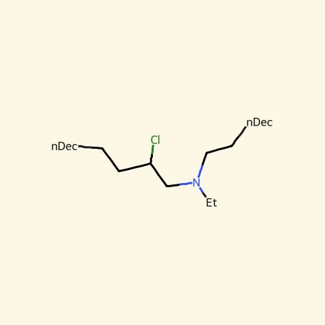 CCCCCCCCCCCCC(Cl)CN(CC)CCCCCCCCCCCC